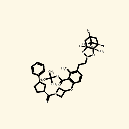 Cc1c(CCB2O[C@@H]3C[C@@H]4C[C@@H](C4(C)C)[C@]3(C)O2)ccc(OC2CN(C(=O)[C@H]3CC[C@@H](c4ccccc4)C3)C2)c1C(=O)OC(C)(C)C